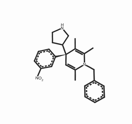 CC1=C[C@](c2cccc([N+](=O)[O-])c2)(C2CCNC2)C(C)=C(C)N1Cc1ccccc1